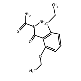 CCOc1cccc(OCC)c1C(=O)N(N)C(N)=S